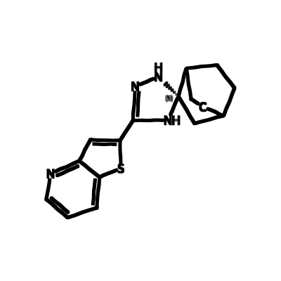 c1cnc2cc(C3=NN[C@]4(CC5CCC4CC5)N3)sc2c1